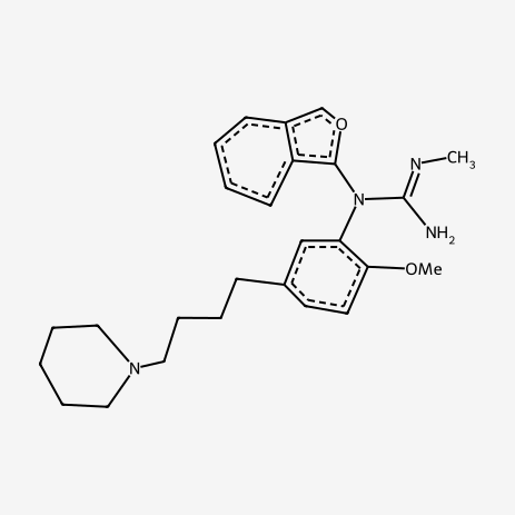 CN=C(N)N(c1cc(CCCCN2CCCCC2)ccc1OC)c1occ2ccccc12